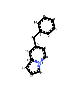 c1ccc(Cc2ccn3cccc3c2)cc1